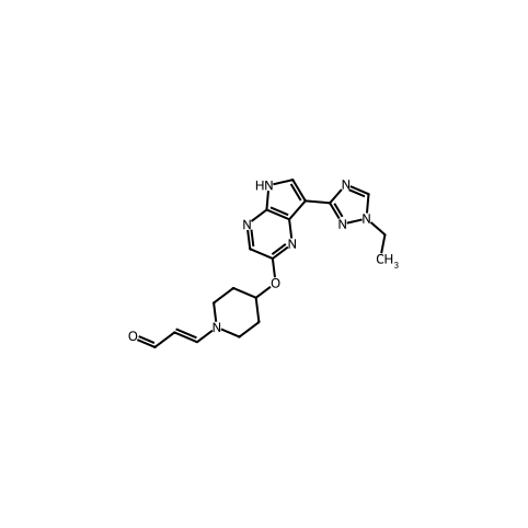 CCn1cnc(-c2c[nH]c3ncc(OC4CCN(C=CC=O)CC4)nc23)n1